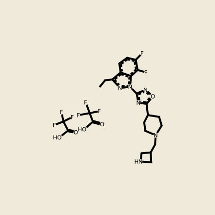 CCc1nn(-c2noc(C3CCN(CC4CNC4)CC3)n2)c2c(F)c(F)ccc12.O=C(O)C(F)(F)F.O=C(O)C(F)(F)F